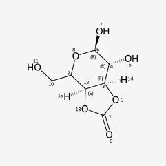 O=C1O[C@@H]2[C@@H](O)[C@H](O)OC(CO)[C@@H]2O1